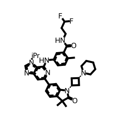 Cc1ccc(Nc2nc(-c3ccc4c(c3)N([C@H]3C[C@@H](N5CCCCC5)C3)C(=O)C4(C)C)cc3ncn(C(C)C)c23)cc1C(=O)NCCC(F)F